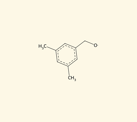 Cc1cc(C)cc(C[O])c1